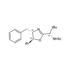 CC(=O)N[C@H](C1=N[C@@H](Cc2ccccc2)[C@H](C(C)C)O1)C(C)(C)C